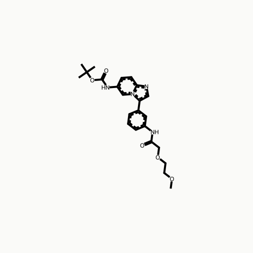 COCCOCC(=O)Nc1cccc(-c2cnc3ccc(NC(=O)OC(C)(C)C)cn23)c1